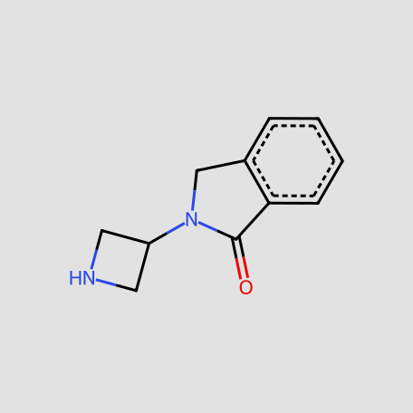 O=C1c2ccccc2CN1C1CNC1